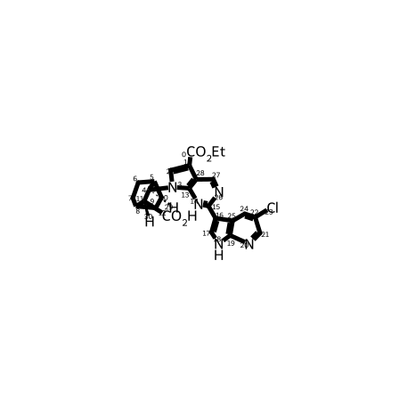 CCOC(=O)c1cn([C@@H]2C3CCC(CC3)[C@H]2C(=O)O)c2nc(-c3c[nH]c4ncc(Cl)cc34)ncc12